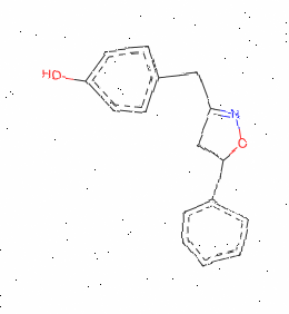 Oc1ccc(CC2=NOC(c3ccccc3)C2)cc1